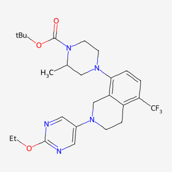 CCOc1ncc(N2CCc3c(C(F)(F)F)ccc(N4CCN(C(=O)OC(C)(C)C)C(C)C4)c3C2)cn1